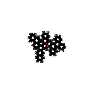 c1ccc(-c2c(-c3ccccc3)c3cc(-c4ccccc4N(c4cccc(-c5ccc6ccccc6c5)c4)c4cc5ccccc5c5ccccc45)ccc3c3ccccc23)cc1